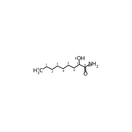 CCCCCCCC(O)C(N)=O